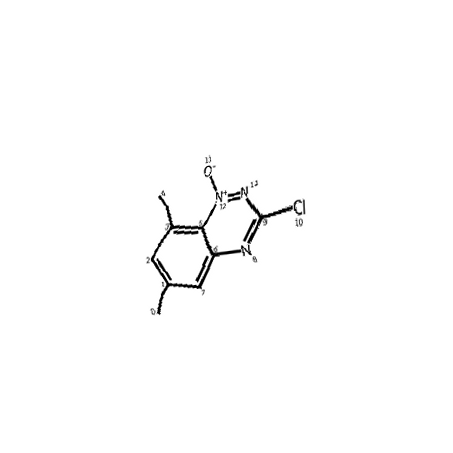 Cc1cc(C)c2c(c1)nc(Cl)n[n+]2[O-]